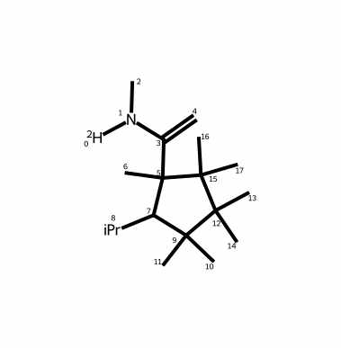 [2H]N(C)C(=C)C1(C)C(C(C)C)C(C)(C)C(C)(C)C1(C)C